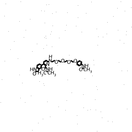 CC(=O)Nc1ccc(OCCOCCOCCOCCNc2ccc(-c3ccc4c(c3)CC(=O)N4)c(C(=O)NC(C)C)n2)cc1